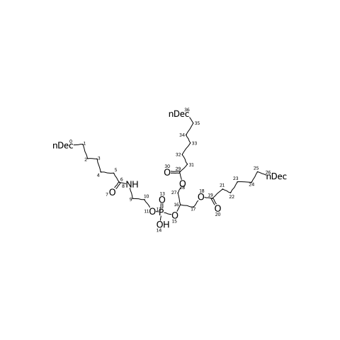 CCCCCCCCCCCCCCCC(=O)NCCOP(=O)(O)OC(COC(=O)CCCCCCCCCCCCCCC)COC(=O)CCCCCCCCCCCCCCC